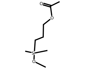 CO[Si](C)(C)CCCOC(C)=O